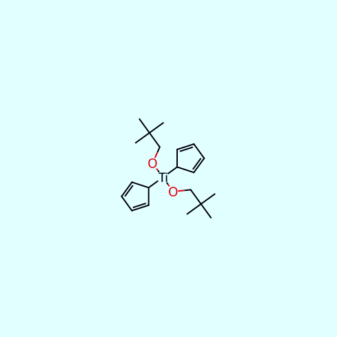 CC(C)(C)C[O][Ti]([O]CC(C)(C)C)([CH]1C=CC=C1)[CH]1C=CC=C1